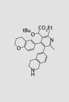 CCOC(=O)C(OC(C)(C)C)c1c(C)nc(C)c(-c2ccc3c(c2)CCNC3)c1-c1ccc2c(c1)CCCO2